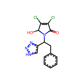 O=C1C(Cl)=C(Cl)C(O)N1C(Cc1ccccc1)c1c[nH]nn1